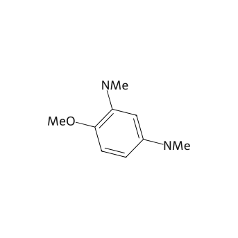 CNc1ccc(OC)c(NC)c1